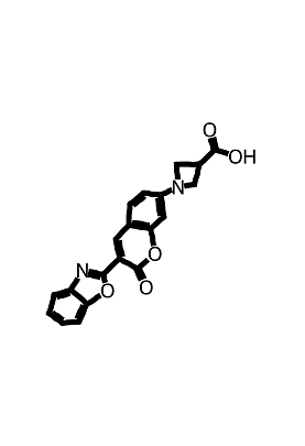 O=C(O)C1CN(c2ccc3cc(-c4nc5ccccc5o4)c(=O)oc3c2)C1